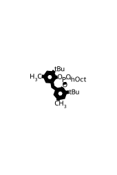 CCCCCCCCOP1Oc2c(cc(C)cc2C(C)(C)C)Cc2cc(C)cc(C(C)(C)C)c2O1